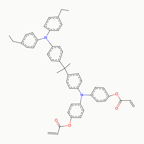 C=CC(=O)Oc1ccc(N(c2ccc(OC(=O)C=C)cc2)c2ccc(C(C)(C)c3ccc(N(c4ccc(CC)cc4)c4ccc(CC)cc4)cc3)cc2)cc1